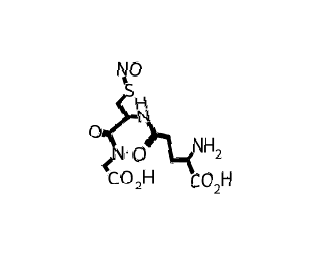 NC(CCC(=O)NC(CSN=O)C(=O)[N]CC(=O)O)C(=O)O